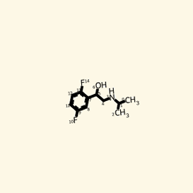 CC(C)NCC(O)c1cc(F)ccc1F